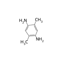 Cc1cc(N)c(C)cc1N